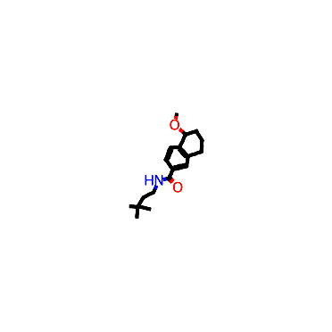 COC1CCCc2cc(C(=O)NCCC(C)(C)C)ccc21